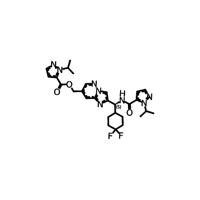 CC(C)n1nccc1C(=O)N[C@H](c1cn2ncc(COC(=O)c3ccnn3C(C)C)cc2n1)C1CCC(F)(F)CC1